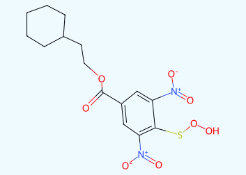 O=C(OCCC1CCCCC1)c1cc([N+](=O)[O-])c(SOO)c([N+](=O)[O-])c1